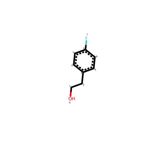 OC[CH]c1ccc(F)cc1